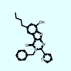 CCCCc1cc(O)c2sc3nc(-c4ccco4)n(Cc4ccccc4)c(=O)c3c2c1